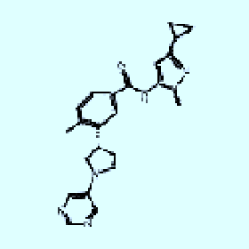 Cc1ccc(C(=O)Nc2cc(C3CC3)nn2C)cc1[C@@H]1CCN(c2cncnc2)C1